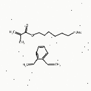 C=C(C)C(=O)OCCCCCCCCCCCCCCCC.C=Cc1ccccc1C=C